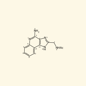 CC(=O)NCc1nc2c(N)nc3ccccc3c2[nH]1